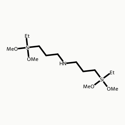 CC[Si](CCCNCCC[Si](CC)(OC)OC)(OC)OC